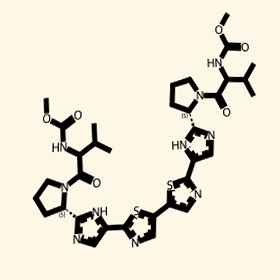 COC(=O)NC(C(=O)N1CCC[C@H]1c1ncc(-c2ncc(-c3cnc(-c4cnc([C@@H]5CCCN5C(=O)C(NC(=O)OC)C(C)C)[nH]4)s3)s2)[nH]1)C(C)C